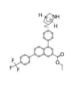 CCOC(=O)c1cc(-c2ccc([C@@H]3C[C@H]4CN[C@@H]3C4)cc2)c2ccc(-c3ccc(C(F)(F)F)cc3)cc2c1